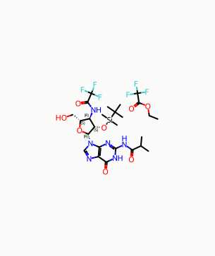 CC(C)C(=O)Nc1nc2c(ncn2[C@@H]2O[C@H](CO)[C@@H](NC(=O)C(F)(F)F)[C@@H]2O[Si](C)(C)C(C)(C)C)c(=O)[nH]1.CCOC(=O)C(F)(F)F